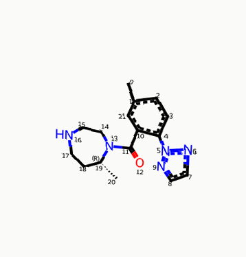 Cc1ccc(-n2nccn2)c(C(=O)N2CCNCC[C@H]2C)c1